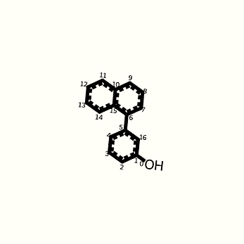 Oc1cc[c]c(-c2cccc3ccccc23)c1